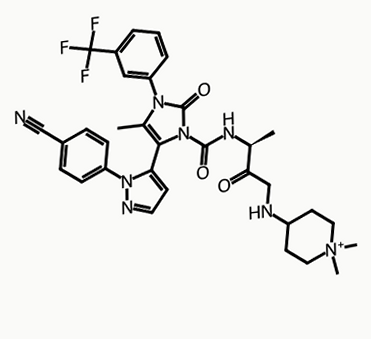 Cc1c(-c2ccnn2-c2ccc(C#N)cc2)n(C(=O)N[C@@H](C)C(=O)CNC2CC[N+](C)(C)CC2)c(=O)n1-c1cccc(C(F)(F)F)c1